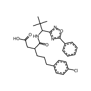 CC(C)(C)C(NC(=O)C(CCCc1ccc(Cl)cc1)CC(=O)O)c1noc(-c2ccccc2)n1